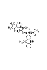 COc1cc(N=Nc2sc(N(C(C)C)C(C)C)n[n+]2C)c(NC(C)=O)cc1NC1CCCCC1